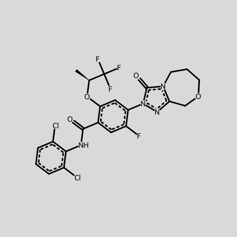 C[C@H](Oc1cc(-n2nc3n(c2=O)CCCOC3)c(F)cc1C(=O)Nc1c(Cl)cccc1Cl)C(F)(F)F